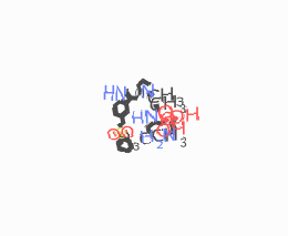 CC(=O)NC(CC(C)C)C(=O)O.CN1CCC[C@@H]1Cc1c[nH]c2ccc(CCS(=O)(=O)c3ccccc3)cc12.NCCO